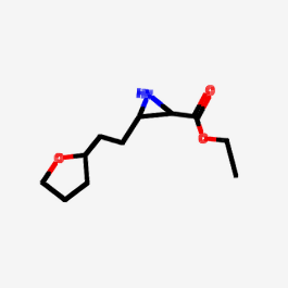 CCOC(=O)C1NC1CCC1CCCO1